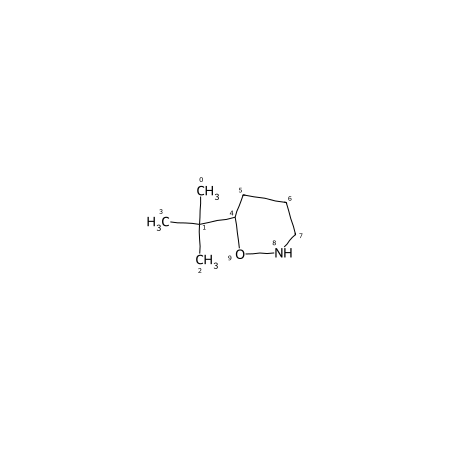 CC(C)(C)C1CCCNO1